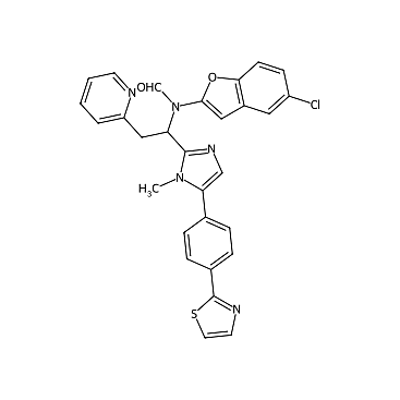 Cn1c(-c2ccc(-c3nccs3)cc2)cnc1C(Cc1ccccn1)N(C=O)c1cc2cc(Cl)ccc2o1